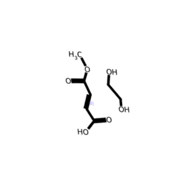 COC(=O)/C=C/C(=O)O.OCCO